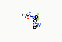 CC(=O)NCCN1CC2(CCN(c3nc4c(c(=O)[nH]3)CCCC4)CC2)c2c(F)cc(F)cc21